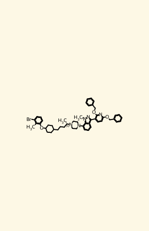 Cc1c(Br)cccc1OC1CCC(CCC[C@H](C)N2CCN(c3cccc4c(-c5ccc(OCc6ccccc6)nc5OCc5ccccc5)nn(C)c34)CC2)CC1